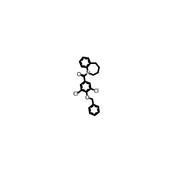 O=C(c1cc(Cl)c(OCc2ccccc2)c(Cl)c1)N1CCCCc2ccccc21